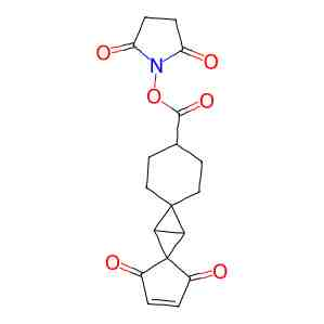 O=C(ON1C(=O)CCC1=O)C1CCC2(CC1)C1C2C12C(=O)C=CC2=O